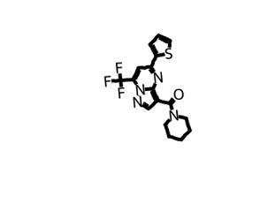 O=C(c1cnn2c(C(F)(F)F)cc(-c3cccs3)nc12)N1CCCCC1